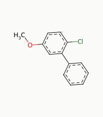 COc1c[c]c(Cl)c(-c2ccccc2)c1